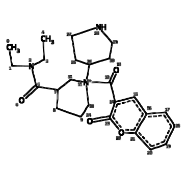 CCN(CC)C(=O)C1CCC[N+](C(=O)c2cc3ccccc3oc2=O)(C2CCNCC2)C1